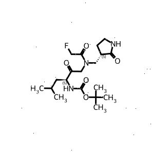 CC(C)C[C@H](NC(=O)OC(C)(C)C)C(=O)CN(C[C@@H]1CCNC1=O)C(=O)CF